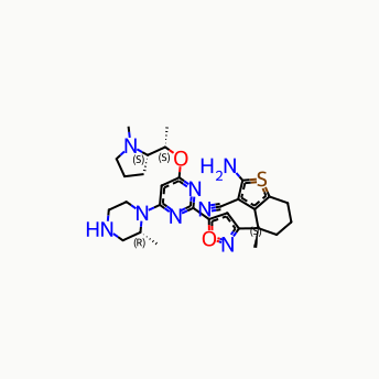 C[C@H](Oc1cc(N2CCNC[C@H]2C)nc(-c2cc([C@@]3(C)CCCc4sc(N)c(C#N)c43)no2)n1)[C@@H]1CCCN1C